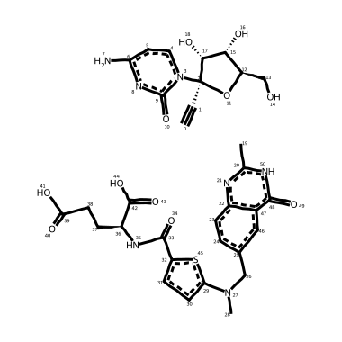 C#C[C@@]1(n2ccc(N)nc2=O)O[C@H](CO)[C@@H](O)[C@H]1O.Cc1nc2ccc(CN(C)c3ccc(C(=O)N[C@@H](CCC(=O)O)C(=O)O)s3)cc2c(=O)[nH]1